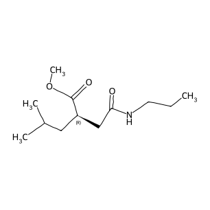 CCCNC(=O)C[C@@H](CC(C)C)C(=O)OC